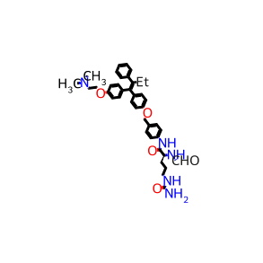 CC/C(=C(/c1ccc(OCCN(C)C)cc1)c1ccc(OCc2ccc(NC(=O)[C@H](CCCNC(N)=O)NC=O)cc2)cc1)c1ccccc1